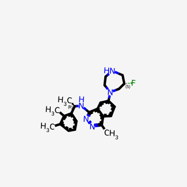 Cc1cccc([C@@H](C)Nc2nnc(C)c3ccc(N4CCNC[C@H](F)C4)cc23)c1C